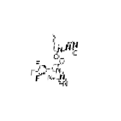 CCCC1CC(=O)N(Cn2ccnc2Cl)C1.N#Cc1cncn1CN1CC(c2cc(F)c(F)c(F)c2)CC1=O